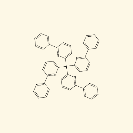 c1ccc(-c2cccc(C(c3cccc(-c4ccccc4)n3)(c3cccc(-c4ccccc4)n3)c3cccc(-c4ccccc4)n3)n2)cc1